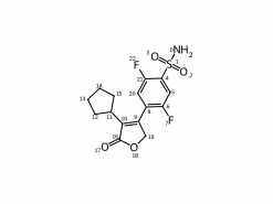 NS(=O)(=O)c1cc(F)c(C2=C(C3CCCC3)C(=O)OC2)cc1F